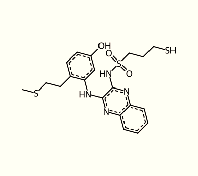 CSCCc1ccc(O)cc1Nc1nc2ccccc2nc1NS(=O)(=O)CCCS